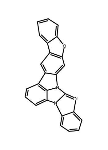 c1ccc2c(c1)nc1n2c2cccc3c4cc5c(cc4n1c32)oc1ccccc15